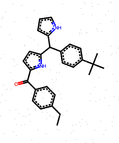 CCc1ccc(C(=O)c2ccc(C(c3ccc(C(C)(C)C)cc3)c3ccc[nH]3)[nH]2)cc1